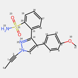 CC#Cn1cc(-c2ccc(OC)cc2)c(-c2ccccc2S(N)(=O)=O)n1